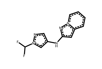 FC(F)n1cc(Nc2cc3ccccn3n2)cn1